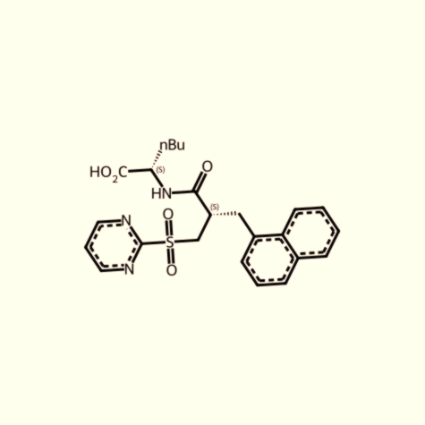 CCCC[C@H](NC(=O)[C@H](Cc1cccc2ccccc12)CS(=O)(=O)c1ncccn1)C(=O)O